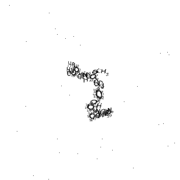 COc1cc(COC(=O)c2ccc(COc3cccc(C(NC(=O)O[C@H]4CN5CCC4CC5)c4ccccc4)c3)cc2)ccc1CNC[C@@H](O)c1ccc(O)c2[nH]c(=O)ccc12